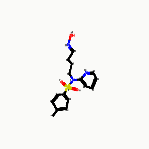 Cc1ccc(S(=O)(=O)N(CCCC=NO)c2ccccn2)cc1